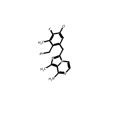 Cc1c(F)c(Cl)cc(Cc2nc(C)c3c(N)nccn23)c1CC(C)C